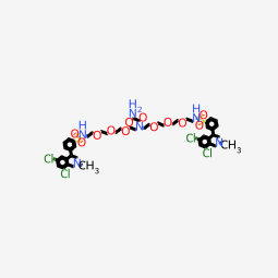 CN1Cc2c(Cl)cc(Cl)cc2C(c2cccc(S(=O)(=O)NCCOCCOCCOCCN(CCOCCOCCOCCNS(=O)(=O)c3cccc(C4CN(C)Cc5c(Cl)cc(Cl)cc54)c3)C(=O)C(N)=O)c2)C1